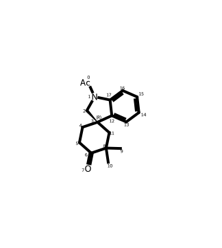 CC(=O)N1C[C@@]2(CCC(=O)C(C)(C)C2)c2ccccc21